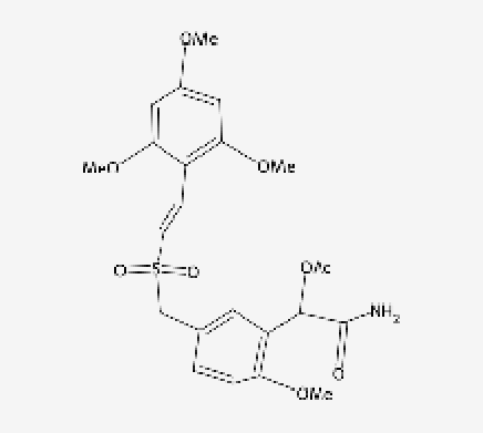 COc1cc(OC)c(C=CS(=O)(=O)Cc2ccc(OC)c(C(OC(C)=O)C(N)=O)c2)c(OC)c1